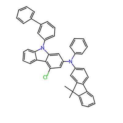 CC1(C)c2ccccc2-c2ccc(N(c3ccccc3)c3cc(Cl)c4c5ccccc5n(-c5cccc(-c6ccccc6)c5)c4c3)cc21